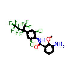 COc1c(N)cccc1C(=O)Nc1c(Cl)cc(C(F)(C(F)(F)F)C(F)(F)C(F)(F)F)cc1Cl